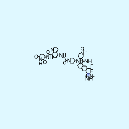 CN/C=C(\C=N)c1cc2c(cc1C(F)F)N(C(=N)C1CN(C(C)=O)CCC1NC1CCN(C(=O)CCNc3ccc(C(=O)N[C@H]4CCC(=O)NC4=O)c4ncccc34)CC1)CCC2